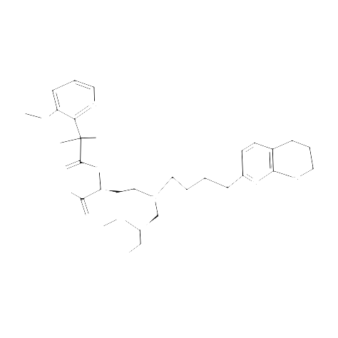 COc1cccnc1C(C)(C)C(=O)N[C@@H](CCN(CCCCc1ccc2c(n1)NCCC2)C[C@@H](CF)OC)C(=O)O